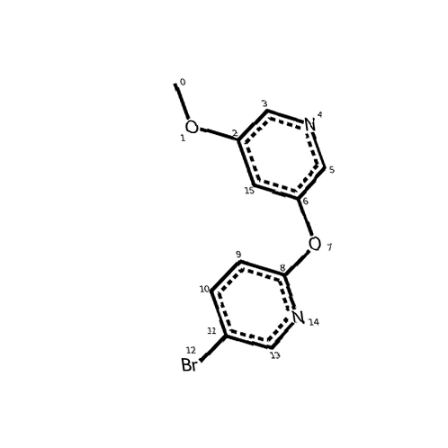 COc1cncc(Oc2ccc(Br)cn2)c1